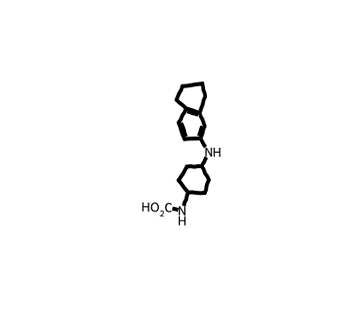 O=C(O)NC1CCC(Nc2ccc3c(c2)CCCC3)CC1